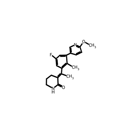 COc1ccc(-c2cc(F)cc(/C(C)=C3\CCCNC3=O)c2C)cn1